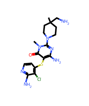 Cn1c(N2CCC(C)(CN)CC2)nc(N)c(Sc2ccnc(N)c2Cl)c1=O